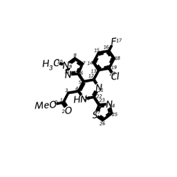 COC(=O)CC1=C(c2ccn(C)n2)C(c2ccc(F)cc2Cl)N=C(c2nccs2)N1